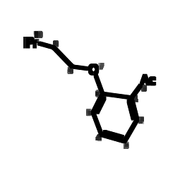 CC(=O)c1ccccc1OCCC(C)C